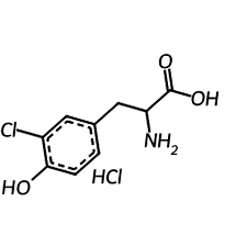 Cl.NC(Cc1ccc(O)c(Cl)c1)C(=O)O